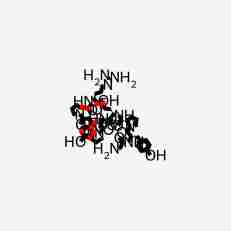 CSCC[C@H](NC(=O)[C@@H]1CCCN1C(=O)[C@H](Cc1ccc(O)cc1)NC(=O)CN)C(=O)N[C@@H](Cc1ccc(O)cc1)C(=O)N1CCC[C@H]1C(=O)N[C@@H](CC(C)C)C(=O)N1CCC[C@H]1C(=O)N[C@@H](CCCN=C(N)N)C(=O)O